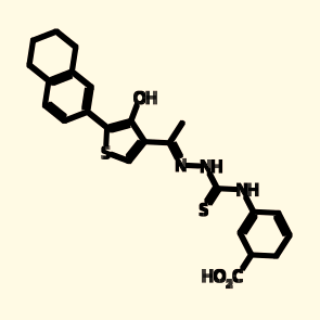 C/C(=N\NC(=S)NC1=CC(C(=O)O)CC=C1)c1csc(-c2ccc3c(c2)CCCC3)c1O